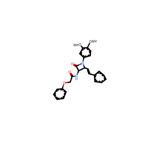 COc1ccc(N2C(=O)C(NC(=O)COc3ccccc3)C2C=Cc2ccccc2)cc1OC